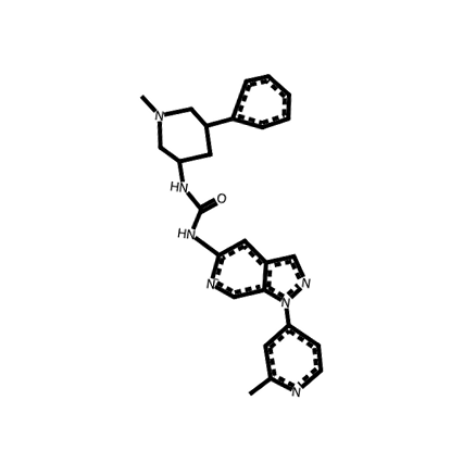 Cc1cc(-n2ncc3cc(NC(=O)NC4CC(c5ccccc5)CN(C)C4)ncc32)ccn1